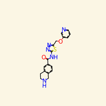 O=C(Nc1nnc(COc2cccnc2)s1)c1ccc2c(c1)CCNC2